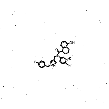 CC(C)c1ccc(N(Cc2cnn(Cc3ccc(F)cc3)c2)C(=O)C2CCCc3c(O)cccc32)c[n+]1[O-]